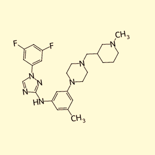 Cc1cc(Nc2ncn(-c3cc(F)cc(F)c3)n2)cc(N2CCN(CC3CCCN(C)C3)CC2)c1